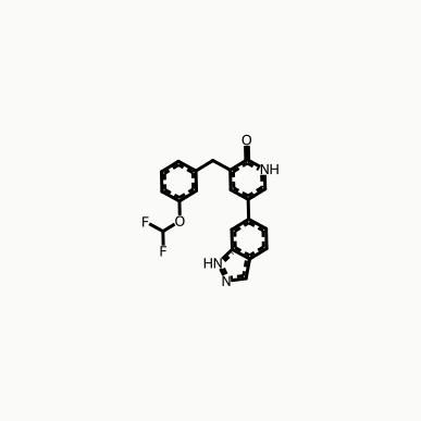 O=c1[nH]cc(-c2ccc3cn[nH]c3c2)cc1Cc1cccc(OC(F)F)c1